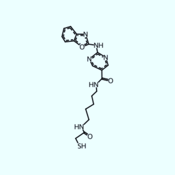 O=C(CS)NCCCCCNC(=O)c1cnc(Nc2nc3ccccc3o2)nc1